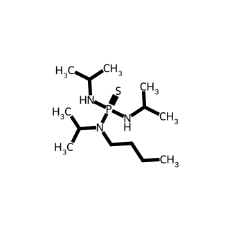 CCCCN(C(C)C)P(=S)(NC(C)C)NC(C)C